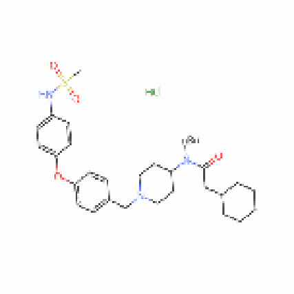 CCCCN(C(=O)CC1CCCCC1)C1CCN(Cc2ccc(Oc3ccc(NS(C)(=O)=O)cc3)cc2)CC1.Cl